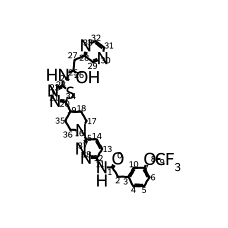 O=C(Cc1cccc(OC(F)(F)F)c1)Nc1ccc(N2CCC(c3nnc(NC(O)Cc4cnccn4)s3)CC2)nn1